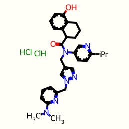 CC(C)c1ccc(N(Cc2cnn(Cc3cccc(N(C)C)n3)c2)C(=O)C2CCCc3c(O)cccc32)cn1.Cl.Cl